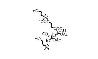 CCC(OC(C)=O)C(=O)O.CCC(OC(C)=O)C(=O)O.C[N+](C)(C)CCO.C[N+](C)(C)CCO.O=C([O-])CCC(=O)[O-]